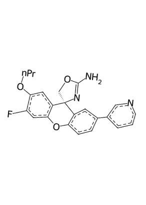 CCCOc1cc2c(cc1F)Oc1ccc(-c3cccnc3)cc1[C@@]21COC(N)=N1